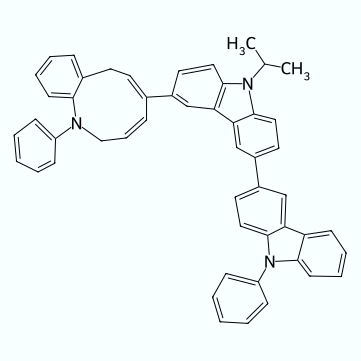 CC(C)n1c2ccc(C3=C/Cc4ccccc4N(c4ccccc4)C/C=C\3)cc2c2cc(-c3ccc4c(c3)c3ccccc3n4-c3ccccc3)ccc21